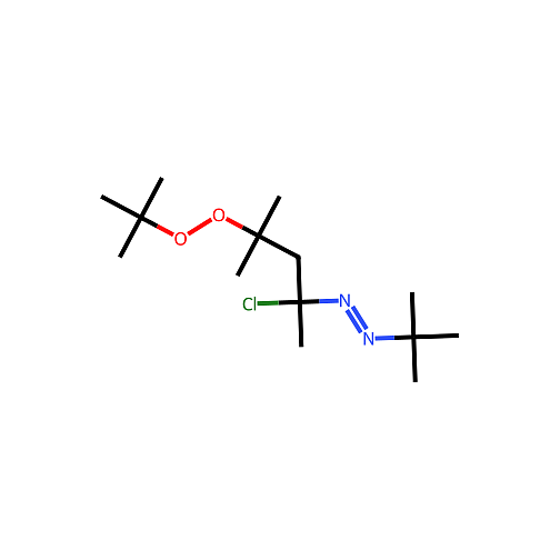 CC(C)(C)N=NC(C)(Cl)CC(C)(C)OOC(C)(C)C